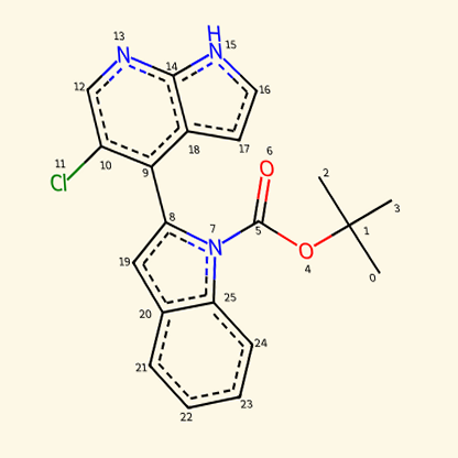 CC(C)(C)OC(=O)n1c(-c2c(Cl)cnc3[nH]ccc23)cc2ccccc21